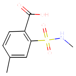 CNS(=O)(=O)c1cc(C)ccc1C(=O)O